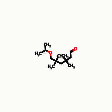 CC(C)OCC(C)(C)CC(C)(C)CC=O